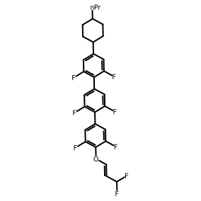 CCCC1CCC(c2cc(F)c(-c3cc(F)c(-c4cc(F)c(O/C=C/C(F)F)c(F)c4)c(F)c3)c(F)c2)CC1